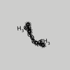 CO/C(=N\c1ccc(OCCOCCOc2ccc(/N=C(\OC)c3ccccc3)cc2)cc1)c1ccccc1